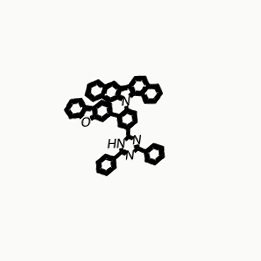 c1ccc(C2=NC(c3ccc(-n4c5cc6ccccc6cc5c5ccc6ccccc6c54)c(-c4ccc5c(c4)oc4ccccc45)c3)NC(c3ccccc3)=N2)cc1